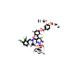 COc1ccc(COc2cccc(C3=C(C(=O)N(Cc4cccc(Cl)c4Cl)C4CC4)CN(C(=O)OC(C)(C)C)CC3)c2)cc1OC